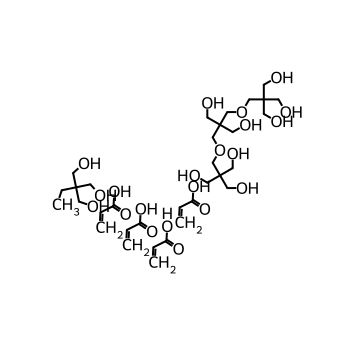 C=CC(=O)O.C=CC(=O)O.C=CC(=O)O.C=CC(=O)O.CCC(CO)(CO)CO.OCC(CO)(CO)COCC(CO)(CO)COCC(CO)(CO)CO